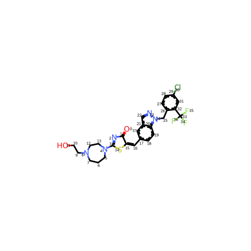 O=C1N=C(N2CCCN(CCO)CC2)SC1=Cc1ccc2c(cnn2Cc2ccc(Cl)cc2C(F)(F)F)c1